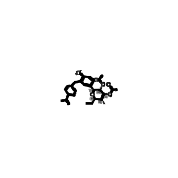 C=C(C)c1ccc(Cc2cc([C@@H]3O[C@H](CC)[C@@H](C)[C@H](OC(C)=O)[C@H]3OC(C)=O)ccc2Cl)cc1